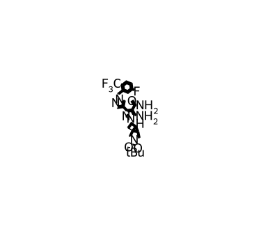 CC(C)(C)OC(=O)N1CC2[C@@H]3[C@H](n4nc(-c5cnn(Cc6cc(F)ccc6C(F)(F)F)c5)c(C(N)=O)c4N)C[C@]23C1